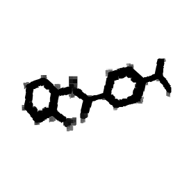 C=C(C)c1ccc(C(=O)Nc2ccccc2O)cc1